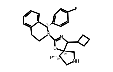 Fc1ccc([C@H]2c3ccccc3CCN2C2=NC(C3CCC3)[C@@]3(CNC[C@@H]3F)O2)cc1